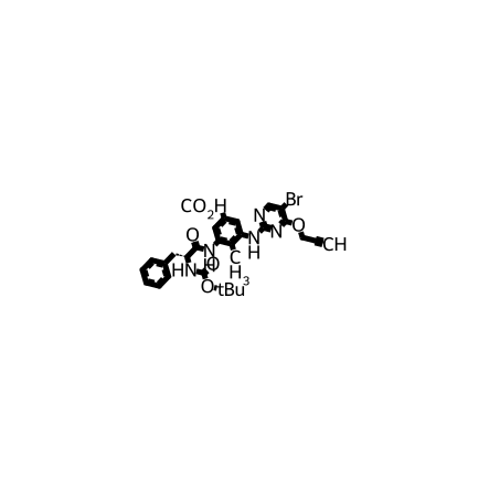 C#CCOc1nc(Nc2cc(C(=O)O)cc(NC(=O)[C@@H](Cc3ccccc3)NC(=O)OC(C)(C)C)c2C)ncc1Br